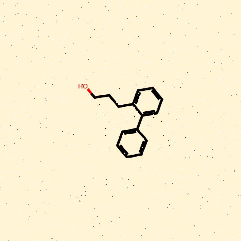 OCCCc1ccccc1-c1ccccc1